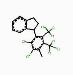 Cc1c(Cl)c(Cl)c(C2CCc3ccccc32)c(C(Cl)(Cl)Cl)c1C(Cl)(Cl)Cl